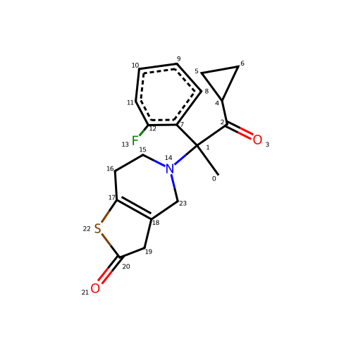 CC(C(=O)C1CC1)(c1ccccc1F)N1CCC2=C(CC(=O)S2)C1